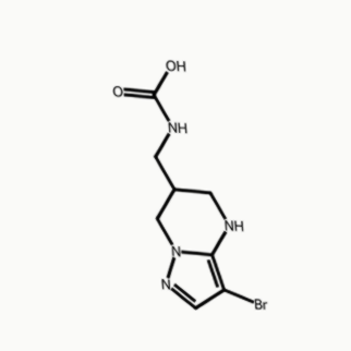 O=C(O)NCC1CNc2c(Br)cnn2C1